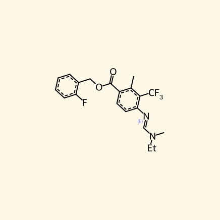 CCN(C)/C=N/c1ccc(C(=O)OCc2ccccc2F)c(C)c1C(F)(F)F